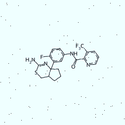 NC1=NC2(c3cc(NC(=O)c4ncccc4C(F)(F)F)ccc3F)CCCC2CS1